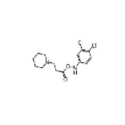 O=C(CCN1CCCCC1)ONc1ccc(Cl)c(Cl)c1